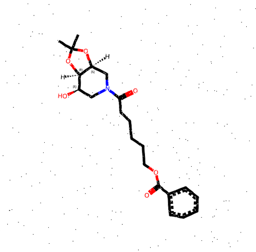 CC1(C)O[C@@H]2[C@H](O)CN(C(=O)CCCCCOC(=O)c3ccccc3)C[C@@H]2O1